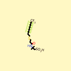 CC(C)(CS(=O)(=O)O)NC(=O)CCSCCC(F)(F)C(F)(F)C(F)(F)C(F)(F)C(F)(F)C(F)(F)F